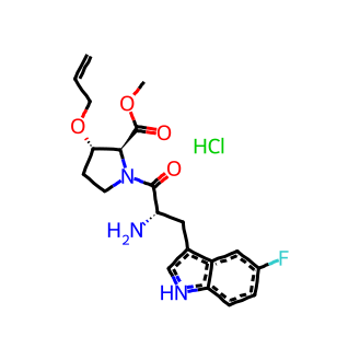 C=CCO[C@H]1CCN(C(=O)[C@@H](N)Cc2c[nH]c3ccc(F)cc23)[C@@H]1C(=O)OC.Cl